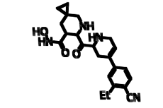 CCc1cc(C2=CCNC(C(=O)C3NCC4(CC4)CC3C(=O)NO)C2)ccc1C#N